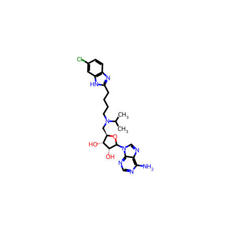 CC(C)N(CCCCc1nc2ccc(Cl)cc2[nH]1)C[C@H]1OC(n2cnc3c(N)ncnc32)[C@H](O)[C@@H]1O